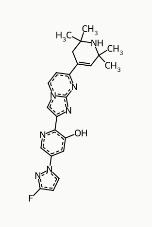 CC1(C)C=C(c2ccn3cc(-c4ncc(-n5ccc(F)n5)cc4O)nc3n2)CC(C)(C)N1